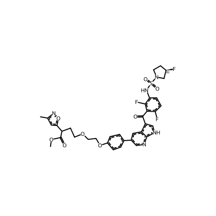 COC(=O)C(CCOCCOc1ccc(-c2cnc3[nH]cc(C(=O)c4c(F)ccc(NS(=O)(=O)N5CC[C@@H](F)C5)c4F)c3c2)cc1)c1cc(C)no1